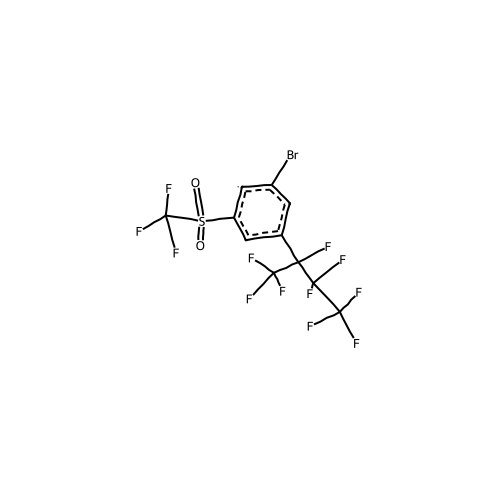 O=S(=O)(c1[c]c(Br)cc(C(F)(C(F)(F)F)C(F)(F)C(F)(F)F)c1)C(F)(F)F